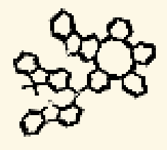 CC1(C)c2ccccc2-c2ccc(N(c3ccc4c5ccccc5c5ccccc5c5ccccc5c5cc6c(cc5c4c3)sc3ccccc36)c3cccc4c3oc3ccccc34)cc21